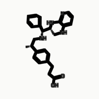 C[C@H](CN[C@H](c1ccccc1)[C@H]1CNc2cccnc2N1)c1ccc(CCC(=O)O)cc1